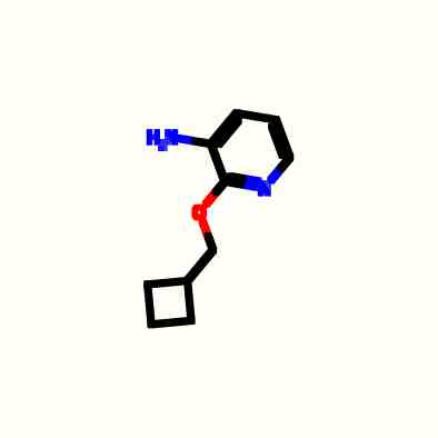 Nc1cccnc1OCC1CCC1